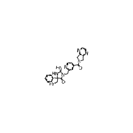 CC(C)CC1(c2ccccc2)NC(=N)N(Cc2cc(C(=O)N3Cc4nccnc4C3)ccn2)C1=O